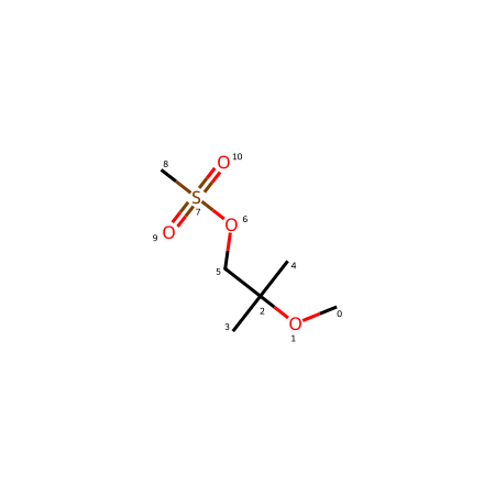 COC(C)(C)COS(C)(=O)=O